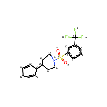 O=S(=O)(c1cccc(C(F)(F)F)c1)N1CCC(C2C=CCC=C2)CC1